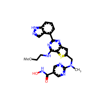 COCCNc1nc(-c2cccc3[nH]ncc23)nc2cc(CN(C)c3ncc(C(=O)NO)cn3)sc12